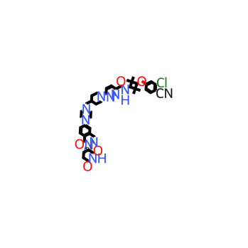 CC1(C)[C@H](NC(=O)c2ccc(N3CCC(CN4CCN(c5ccc6c(=O)n([C@@H]7CCC(=O)NC7=O)ncc6c5)CC4)CC3)nn2)C(C)(C)[C@H]1Oc1ccc(C#N)c(Cl)c1